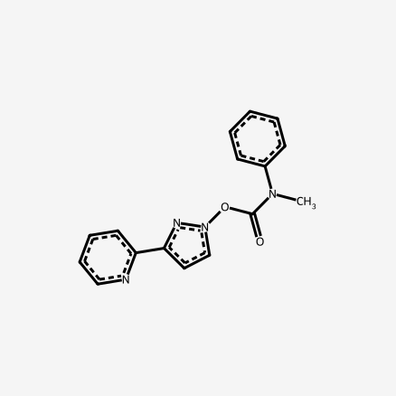 CN(C(=O)On1ccc(-c2ccccn2)n1)c1ccccc1